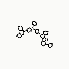 c1ccc(-c2cccc3c2oc2c4ccccc4c(-c4ccc(N(c5ccccc5)c5ccc(-c6cc7ccccc7c7ccccc67)cc5)cc4)cc32)cc1